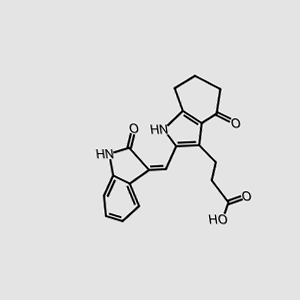 O=C(O)CCc1c(C=C2C(=O)Nc3ccccc32)[nH]c2c1C(=O)CCC2